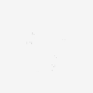 Cc1ccc(NC(=O)N2CCC(CC(F)(F)F)C2)cc1-c1cc(N[C@H](C)CO)nc(C2CCOCC2)c1